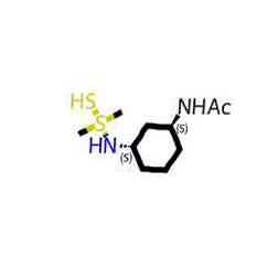 CC(=O)N[C@H]1CCC[C@H](NS(C)(C)S)C1